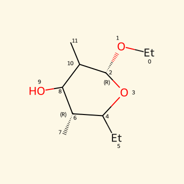 CCO[C@@H]1OC(CC)[C@H](C)C(O)C1C